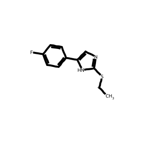 C[CH]Sc1ncc(-c2ccc(F)cc2)[nH]1